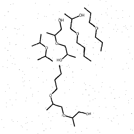 CC(C)OC(C)C.CC(O)COC(C)CO.CCCCOC(C)COC(C)CO.CCCCOCC(C)O.CCCOCCC